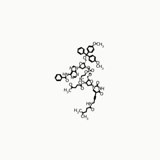 [C-]#[N+]CCOP(=O)(OC[C@H]1O[C@@H](n2cc(C#CCNC(=O)CCC(C)C)c(=O)[nH]c2=O)C[C@H]1OC(=O)CCC(C)=O)O[C@@H]1C[C@H](n2cnc3c(NC(=O)c4ccccc4)ncnc32)O[C@@H]1COC(c1ccccc1)(c1ccc(OC)cc1)c1ccc(OC)cc1